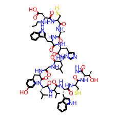 CCCN[C@@H](CC(=O)O)C(=O)NC(CS)C(=O)N[C@@H](C)C(=O)NC(Cc1c[nH]c2ccccc12)C(=O)N[C@@H](Cc1cnc[nH]1)C(=O)NC(CC(C)C)C(=O)NCC(=O)NC(Cc1ccc(O)cc1)C(=O)N[C@@H](CC(C)C)C(=O)NC(C(=O)N[C@@H](Cc1c[nH]c2ccccc12)C(=O)NC(CS)C(=O)N[C@H](C(N)=O)[C@@H](C)O)C(C)C